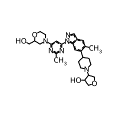 Cc1nc(N2CCOC(CO)C2)cc(-n2ncc3cc(C)c(C4CCN(C5COCC5O)CC4)cc32)n1